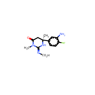 CN1C(=O)C[C@@](C)(c2ccc(F)c(N)c2)N/C1=N\C(=O)O